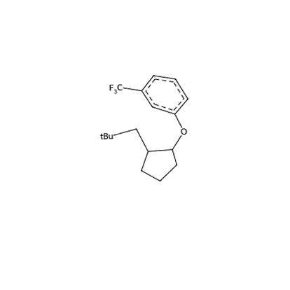 CC(C)(C)CC1CCCC1Oc1cccc(C(F)(F)F)c1